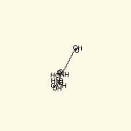 O=C(O)CCCCCCCCCCCCCCCCC(=O)NC(CCC(=O)NC(CCC(=O)O)C(=O)O)C(=O)O